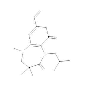 CC(C)CN1C(=O)C(C)(C)CN(C)C2=C1C(=O)CC(C=O)=C2